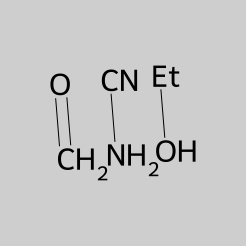 C=O.CCO.N#CN